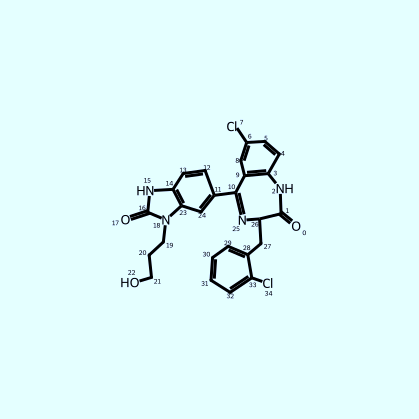 O=C1Nc2ccc(Cl)cc2C(c2ccc3[nH]c(=O)n(CCCO)c3c2)=NC1Cc1ccccc1Cl